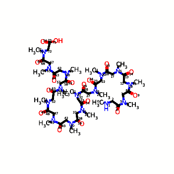 CNCC(=O)N(C)CC(=O)N(C)CC(=O)N(C)CC(=O)N(C)CC(=O)N(C)CC(=O)N(C)CC(=O)N(C)CC(=O)N(C)CC(=O)N(C)CC(=O)N(C)CC(=O)N(C)CC(=O)N(C)CC(=O)N(C)CC(=O)N(C)CC(=O)O